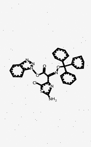 Nc1nc(/C(=N/OC(c2ccccc2)(c2ccccc2)c2ccccc2)C(=O)On2nnc3ccccc32)c(Cl)s1